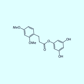 COc1ccc(CCC(=O)Oc2cc(O)cc(O)c2)c(OC)c1